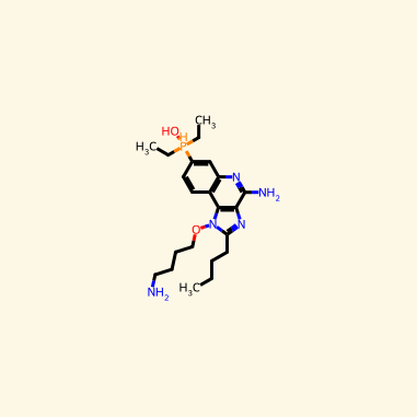 CCCCc1nc2c(N)nc3cc([PH](O)(CC)CC)ccc3c2n1OCCCCN